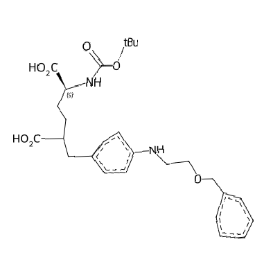 CC(C)(C)OC(=O)N[C@@H](CCC(Cc1ccc(NCCOCc2ccccc2)cc1)C(=O)O)C(=O)O